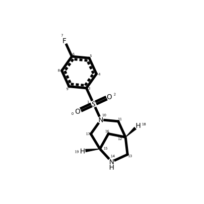 O=S(=O)(c1ccc(F)cc1)N1C[C@@H]2CN[C@@H](C2)C1